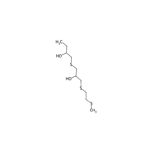 CCC(O)CSCC(O)CSCCSC